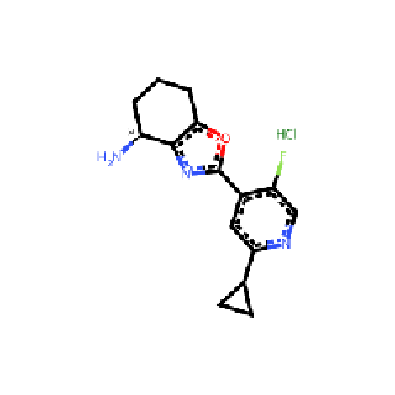 Cl.N[C@H]1CCCc2oc(-c3cc(C4CC4)ncc3F)nc21